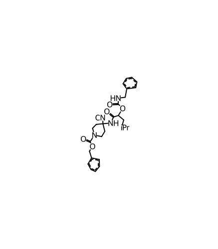 CC(C)CC(OC(=O)NCc1ccccc1)C(=O)NC1(C#N)CCN(C(=O)OCc2ccccc2)CC1